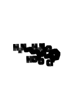 NCCCCC(C(=O)O)N(Cc1ccccc1Cl)C(N)=O